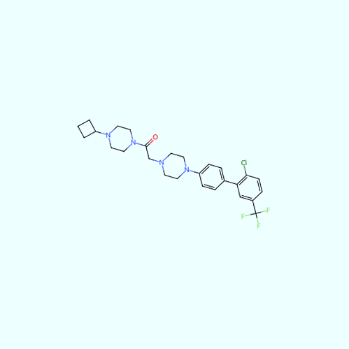 O=C(CN1CCN(c2ccc(-c3cc(C(F)(F)F)ccc3Cl)cc2)CC1)N1CCN(C2CCC2)CC1